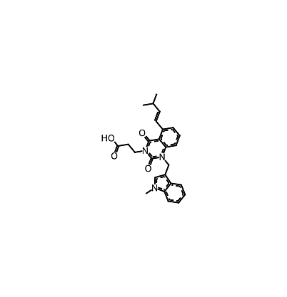 CC(C)C=Cc1cccc2c1c(=O)n(CCC(=O)O)c(=O)n2Cc1cn(C)c2ccccc12